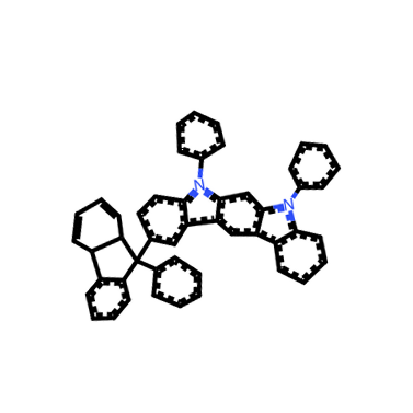 C1=CC2c3ccccc3C(c3ccccc3)(c3ccc4c(c3)c3cc5c6ccccc6n(-c6ccccc6)c5cc3n4-c3ccccc3)C2C=C1